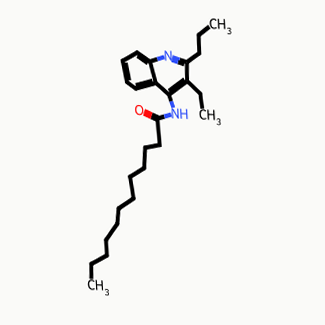 CCCCCCCCCCCC(=O)Nc1c(CC)c(CCC)nc2ccccc12